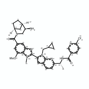 COc1cc(C(=O)N2C[C@H](N)[C@@H]3CC[C@H]2C3)cc2nc(-c3cc4ccc([C@@H](C)NC(=O)c5ccc(C(F)(F)F)nc5)nc4n3CC3CC3)n(C)c12